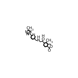 Cc1nnn(-c2ccc(CNCC(O)c3ccc4c(c3C)COC4=O)cn2)n1